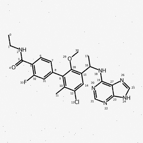 CCNC(=O)c1ccc(-c2c(C)c(Cl)cc(C(C)Nc3ncnc4[nH]cnc34)c2OC)cc1F